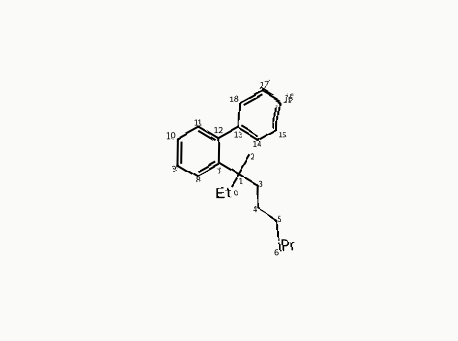 CCC(C)(CCCC(C)C)c1ccccc1-c1ccccc1